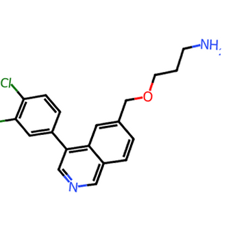 NCCCOCc1ccc2cncc(-c3ccc(Cl)c(Cl)c3)c2c1